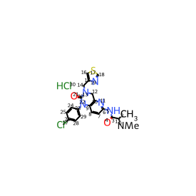 CNC(C)C(=O)Nc1ccc2c(n1)CN(Cc1cscn1)C(=O)N2c1ccc(Cl)cc1.Cl